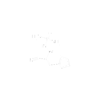 N#CC(=Cc1cccs1)C(=O)NP(N)(N)=O